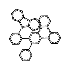 c1ccc(-c2cc3c4ccccc4c4ccccc4c3nc2-c2ccccc2-n2c3ccccc3c3ccccc32)cc1